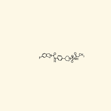 CCC(=O)NS(=O)(=O)N1CCC(c2ccc(NC(=O)N3Cc4ccc(F)cc4C3)cc2)CC1